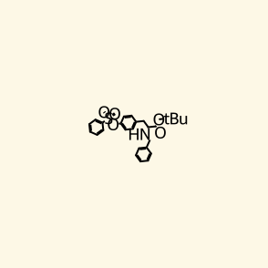 CC(C)(C)OC(=O)C(Cc1ccc(OS(=O)(=O)c2ccccc2)cc1)NCc1ccccc1